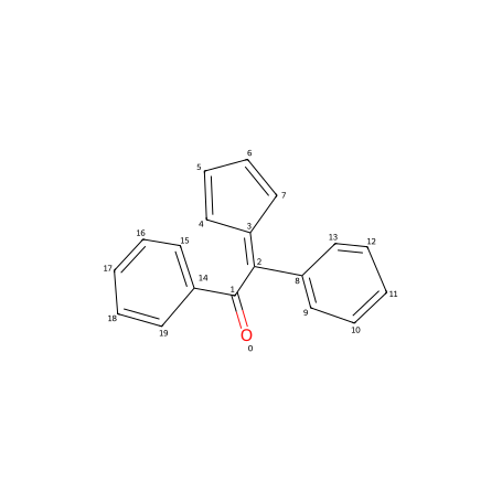 O=C(C(=C1C=CC=C1)c1ccccc1)c1ccccc1